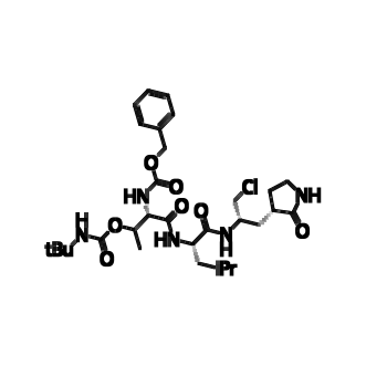 CC(C)C[C@H](NC(=O)[C@@H](NC(=O)OCc1ccccc1)C(C)OC(=O)NC(C)(C)C)C(=O)N[C@H](CCl)C[C@@H]1CCNC1=O